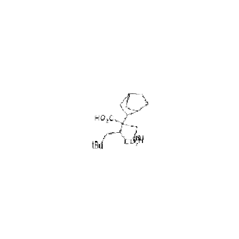 CC(C)(C)CC(C(=O)O)C(CC(C)(C)C)(C(=O)O)C1CC2CCC1C2